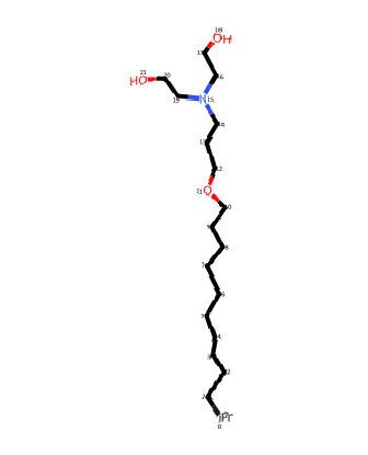 CC(C)CCCCCCCCCCOCCCN(CCO)CCO